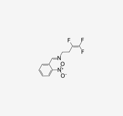 O=[N+]([O-])c1ccccc1/C=N/CCC(F)=C(F)F